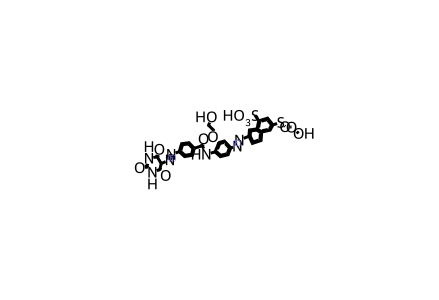 O=C1NC(=O)C(/N=N/c2ccc(C(=O)Nc3ccc(/N=N/c4ccc5cc(SOOO)cc(S(=O)(=O)O)c5c4)cc3OCCO)cc2)C(=O)N1